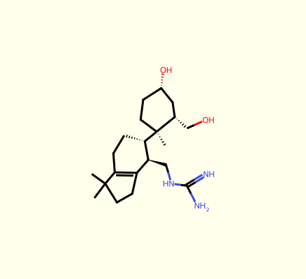 CC1(C)CCC2=C1CC[C@H]([C@@]1(C)CC[C@H](O)C[C@@H]1CO)[C@H]2CNC(=N)N